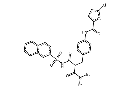 CCN(CC)C(=O)C(Cc1ccc(NC(=O)c2ccc(Cl)s2)cc1)C(=O)NS(=O)(=O)c1ccc2ccccc2c1